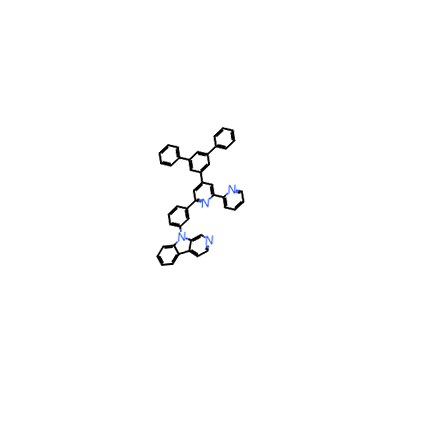 c1ccc(-c2cc(-c3ccccc3)cc(-c3cc(-c4cccc(-n5c6ccccc6c6ccncc65)c4)nc(-c4ccccn4)c3)c2)cc1